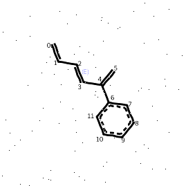 [CH]=C/C=C/C(=C)c1ccccc1